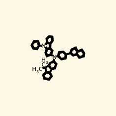 CC1(C)c2ccccc2-c2ccc(N(c3ccc(-c4ccc5ccccc5c4)cc3)c3ccc4c(c3)c3ccccc3n4-c3ccccc3)cc21